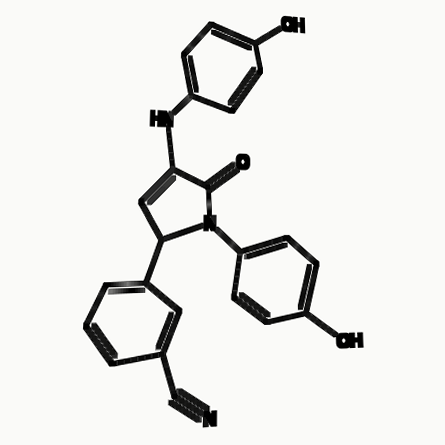 N#Cc1cccc(C2C=C(Nc3ccc(O)cc3)C(=O)N2c2ccc(O)cc2)c1